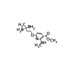 BC(B)(C)CCOc1ccc(C(=O)OC)c(NC)n1